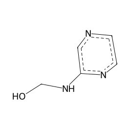 OCNc1cnccn1